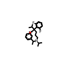 CC(C)N(CCCC(C#N)(c1c(F)cccc1F)C(C)C)C(C)c1ccccc1